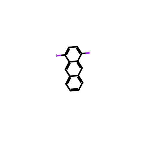 Ic1ccc(I)c2cc3ccccc3cc12